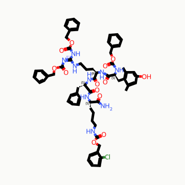 Cc1cc(O)cc(C)c1C[C@H](NC(=O)OCc1ccccc1)C(=O)N[C@H](CCCN/C(=N\C(=O)OCc1ccccc1)NC(=O)OCc1ccccc1)C(=O)N[C@@H](Cc1ccccc1)C(=O)N[C@@H](CCCCNC(=O)OCc1ccccc1Cl)C(N)=O